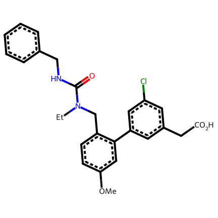 CCN(Cc1ccc(OC)cc1-c1cc(Cl)cc(CC(=O)O)c1)C(=O)NCc1ccccc1